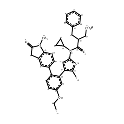 CN1C(=O)Cc2cc(-c3ccc(OCF)cc3-c3nc(N(C(=O)C(CC(=O)O)Cc4ccccc4)C4CC4)sc3F)cnc21